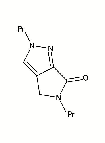 CC(C)N1Cc2cn(C(C)C)nc2C1=O